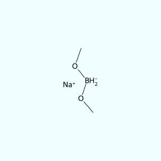 CO[BH2-]OC.[Na+]